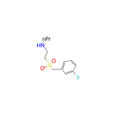 CCCNCCS(=O)(=O)Cc1cccc(F)c1